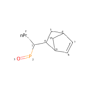 CCCC(P=O)C1CC2C=CC1C2